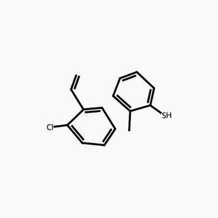 C=Cc1ccccc1Cl.Cc1ccccc1S